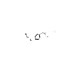 C=CCOC(=O)Oc1ccc(CC(NI)C(=O)O)cc1